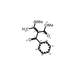 CN/C(C)=C(\C(=O)OC)C(=O)c1ccccc1